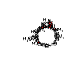 COc1ccc(C[C@@H]2NC(=O)[C@H]([C@@H](C)O)NC(=O)[C@@H]3CCC(=O)NCc4cccc(c4)C[C@H](NC(=O)[C@@H](CN)NC(=O)[C@H](C)NC(=O)CCC(=O)NCc4ccc(cc4)CCNC(=O)[C@]4(C)CCCN4C2=O)C(=O)N[C@@H](Cc2c[nH]c4ccc(F)cc24)C(=O)N3C)cc1